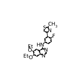 CCOc1cc2ncnc(Nc3ccc(F)c(-c4csc(C)n4)c3)c2cc1OCC